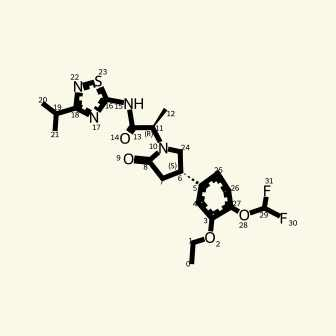 CCOc1cc([C@@H]2CC(=O)N([C@H](C)C(=O)Nc3nc(C(C)C)ns3)C2)ccc1OC(F)F